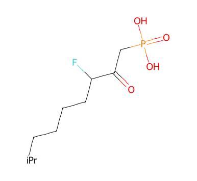 CC(C)CCCCC(F)C(=O)CP(=O)(O)O